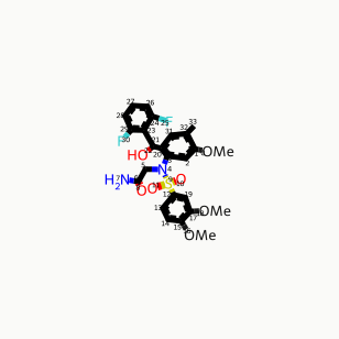 COc1cc(N(CC(N)=O)S(=O)(=O)c2ccc(OC)c(OC)c2)c(C(O)c2c(F)cccc2F)cc1C